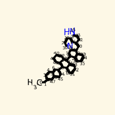 CCc1ccc2cc(-c3c4ccccc4c(-c4ccc(/C=C(/C=C\C=N)c5ccccn5)c5ccccc45)c4ccccc34)ccc2c1